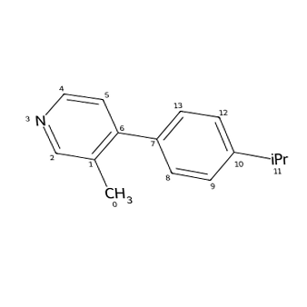 Cc1cnccc1-c1ccc(C(C)C)cc1